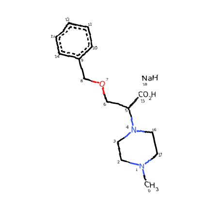 CN1CCN(C(COCc2ccccc2)C(=O)O)CC1.[NaH]